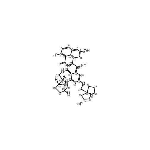 C=Cc1c(F)ccc2cc(O)cc(-c3nc4c5c(nc(OC[C@@]67CCCN6C[C@H](F)C7)nc5c3F)N3C[C@@H]5CC[C@@H](N5)[C@@H]3CO4)c12